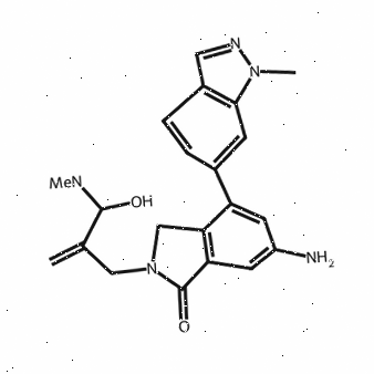 C=C(CN1Cc2c(cc(N)cc2-c2ccc3cnn(C)c3c2)C1=O)C(O)NC